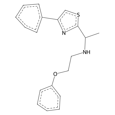 CC(NCCOc1ccccc1)c1nc(-c2ccccc2)cs1